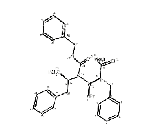 CCCN([C@@H](Cc1ccccc1)C(=O)OC)N(C(=O)OCc1ccccc1)[C@@H](Cc1ccccc1)C(=O)O